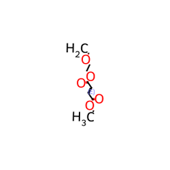 C=COCCOC(=O)/C=C/C(=O)OCC